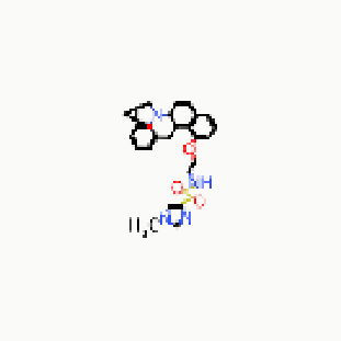 Cn1cnc(S(=O)(=O)NCCOc2cccc3c2C(Cc2ccccc2)C(N2CC4CC4C2)CC3)c1